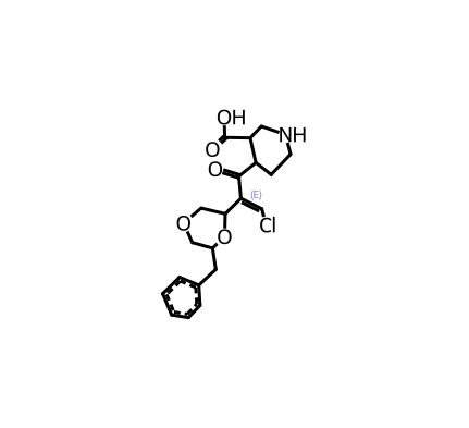 O=C(O)C1CNCCC1C(=O)/C(=C/Cl)C1COCC(Cc2ccccc2)O1